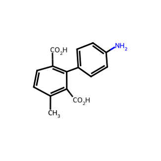 Cc1ccc(C(=O)O)c(-c2ccc(N)cc2)c1C(=O)O